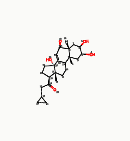 C[C@]12C[C@H](O)[C@H](O)C[C@H]1C(=O)C=C1C2CC[C@]2(C)[C@@H](C(=O)CC3CC3)CC[C@@]12O